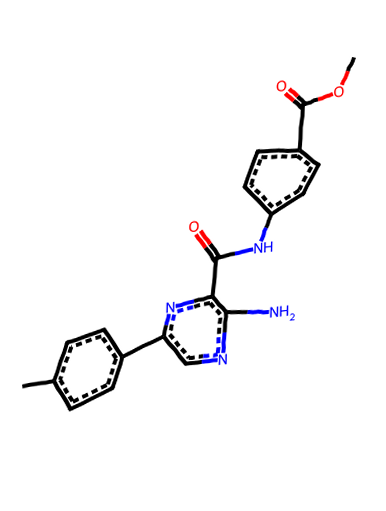 COC(=O)c1ccc(NC(=O)c2nc(-c3ccc(C)cc3)cnc2N)cc1